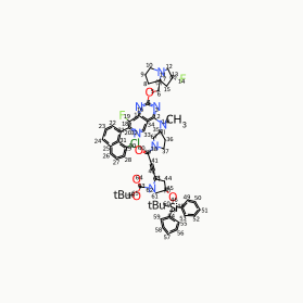 CN(c1nc(OC[C@@]23CCCN2C[C@H](F)C3)nc2c(F)c(-c3cccc4cccc(Cl)c34)ncc12)[C@@H]1CCN(C(=O)C#C[C@H]2C[C@@H](O[Si](c3ccccc3)(c3ccccc3)C(C)(C)C)CN2C(=O)OC(C)(C)C)C1